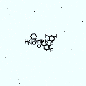 CN(C[C@@](C)(O)[C@@H]1CCCC[C@@H]1O)C(=O)c1ccc(F)c(F)c1Nc1ccc(I)cc1F